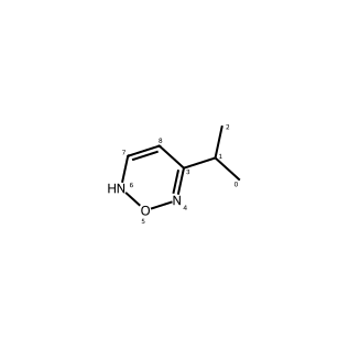 CC(C)C1=NONC=C1